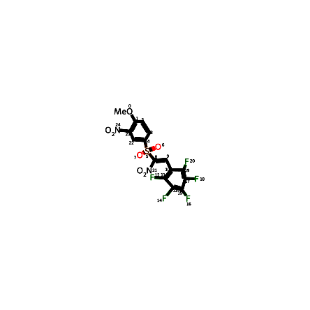 COc1ccc(S(=O)(=O)/C(=C/c2c(F)c(F)c(F)c(F)c2F)[N+](=O)[O-])cc1[N+](=O)[O-]